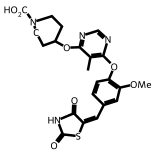 COc1cc(C=C2SC(=O)NC2=O)ccc1Oc1ncnc(OC2CCN(C(=O)O)CC2)c1C